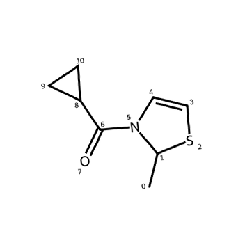 CC1SC=CN1C(=O)C1CC1